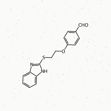 O=Cc1ccc(OCCSc2nc3ccccc3[nH]2)cc1